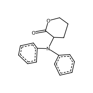 O=C1OCCCC1N(c1ccccc1)c1ccccc1